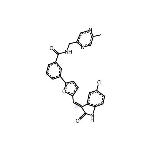 Cc1cnc(CNC(=O)c2cccc(-c3ccc(/C=C4/C(=O)Nc5ccc(Cl)cc54)o3)c2)cn1